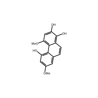 COc1cc(O)c2c(ccc3c(O)c(O)cc(OC)c32)c1